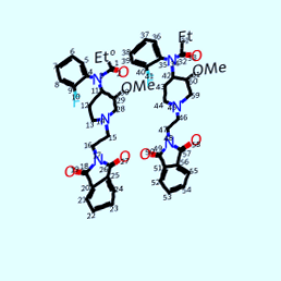 CCC(=O)N(c1ccccc1F)C1CCN(CCN2C(=O)c3ccccc3C2=O)CC1OC.CCC(=O)N(c1ccccc1F)C1CCN(CCN2C(=O)c3ccccc3C2=O)CC1OC